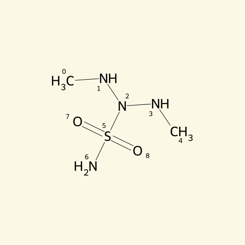 CNN(NC)S(N)(=O)=O